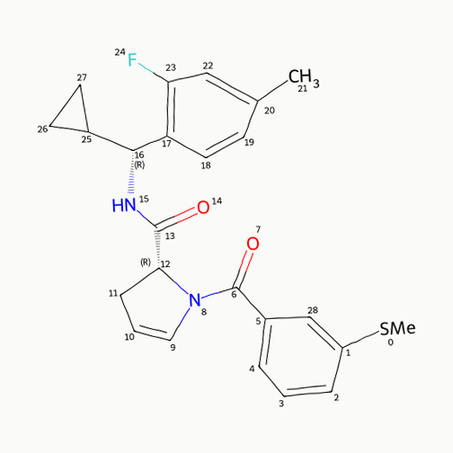 CSc1cccc(C(=O)N2C=CC[C@@H]2C(=O)N[C@@H](c2ccc(C)cc2F)C2CC2)c1